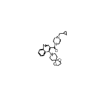 O=C(c1cnc2ccccc2c1N1CCC2(CC1)OCCO2)N1CCN(CC2CC2)CC1